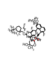 [2H]C([2H])([2H])N1CC[C@H](C(F)F)[C@](C)(COc2nc(N3CCOC[C@@](C)(O)C3)c3c(OCC)nc(-c4cc(O[Si](C(C)C)(C(C)C)C(C)C)cc5ccc(F)c(C#C[Si](C(C)C)(C(C)C)C(C)C)c45)c(F)c3n2)C1